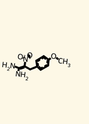 COc1ccc(CC(=C(N)N)[N+](=O)[O-])cc1